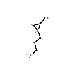 N#CC1CN1OCC[N+](=O)[O-]